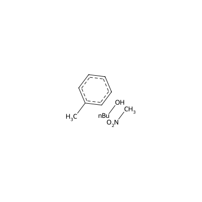 CCCCO.C[N+](=O)[O-].Cc1ccccc1